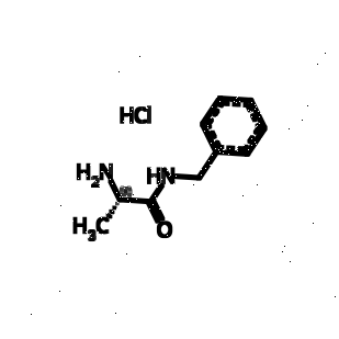 C[C@H](N)C(=O)NCc1ccccc1.Cl